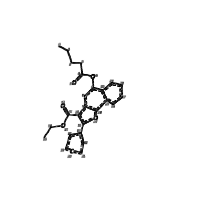 CCCCC(=O)Oc1cc2c(C(=O)OCC)c(-c3ccccc3)oc2c2ccccc12